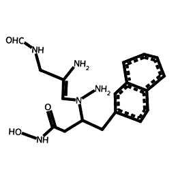 N/C(=C\N(N)C(CC(=O)NO)Cc1ccc2ccccc2c1)CNC=O